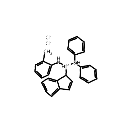 Cc1ccccc1[NH][Hf+2]([CH]1C=Cc2ccccc21)[SiH](c1ccccc1)c1ccccc1.[Cl-].[Cl-]